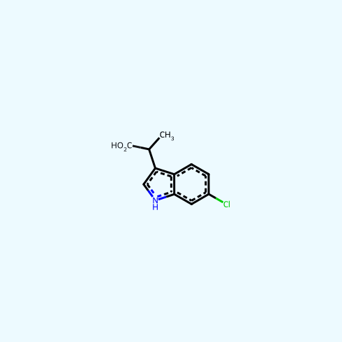 CC(C(=O)O)c1c[nH]c2cc(Cl)ccc12